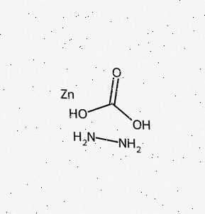 NN.O=C(O)O.[Zn]